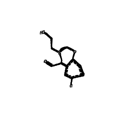 O=CC1c2cc(Cl)ccc2OCN1CCO